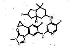 Cn1nnn(-c2cc(Nc3ncc(F)c(NC4C[C@@H]5C[C@@H](F)CN5C(C)(C)C4)n3)c(F)cc2C2CC2)c1=O